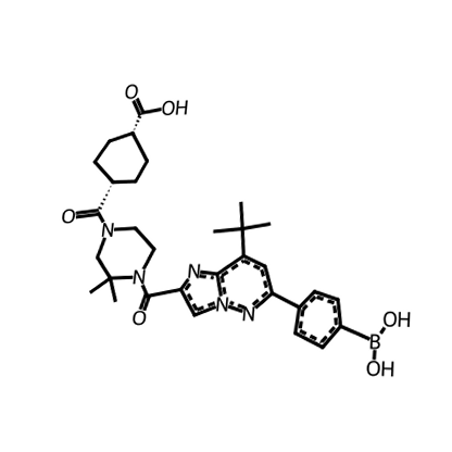 CC(C)(C)c1cc(-c2ccc(B(O)O)cc2)nn2cc(C(=O)N3CCN(C(=O)[C@H]4CC[C@@H](C(=O)O)CC4)CC3(C)C)nc12